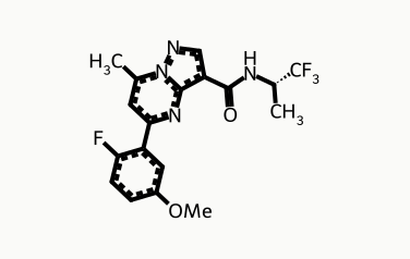 COc1ccc(F)c(-c2cc(C)n3ncc(C(=O)N[C@@H](C)C(F)(F)F)c3n2)c1